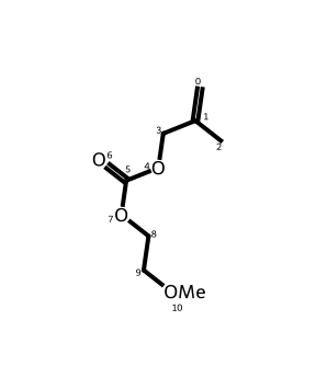 C=C(C)COC(=O)OCCOC